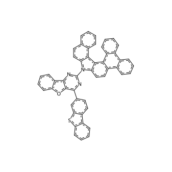 c1ccc2c(c1)ccc1c2c2c3c4ccccc4c4ccccc4c3ccc2n1-c1nc(-c2ccc3c(c2)sc2ccccc23)c2oc3ccccc3c2n1